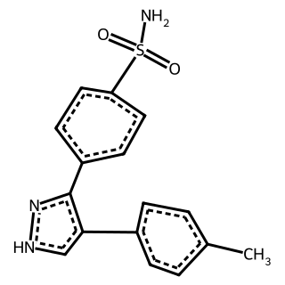 Cc1ccc(-c2c[nH]nc2-c2ccc(S(N)(=O)=O)cc2)cc1